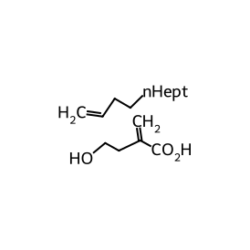 C=C(CCO)C(=O)O.C=CCCCCCCCCC